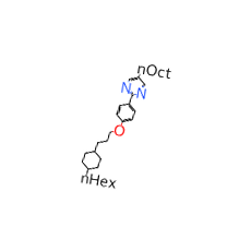 CCCCCCCCc1cnc(-c2ccc(OCCCC3CCC(CCCCCC)CC3)cc2)nc1